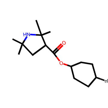 CCCC1CCC(OC(=O)C2CC(C)(C)NC2(C)C)CC1